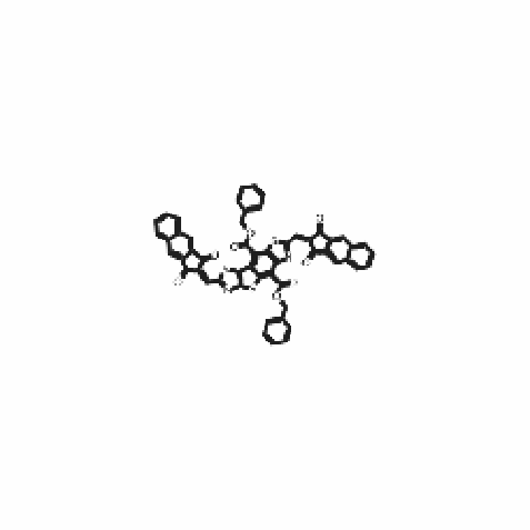 O=C1C(=Cc2nc3c(C(=O)OCc4ccccc4)c4sc5nc(C=C6C(=O)c7cc8ccccc8cc7C6=O)sc5c4c(C(=O)OCc4ccccc4)c3s2)C(=O)c2cc3ccccc3cc21